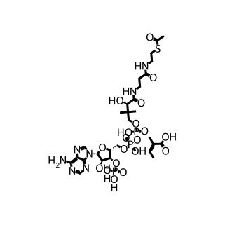 CC(=O)SCCNC(=O)CCNC(=O)[C@H](O)C(C)(C)COP(=O)(O)OP(=O)(O)OC[C@H]1O[C@@H](n2cnc3c(N)ncnc32)[C@H](O)[C@@H]1OP(=O)(O)O.CC=C(C)C(=O)O